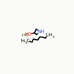 CCCCCCC.Cl.OC1CNC1